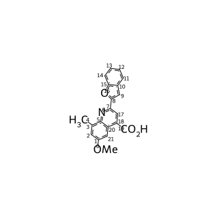 COc1cc(C)c2nc(-c3cc4ccccc4o3)cc(C(=O)O)c2c1